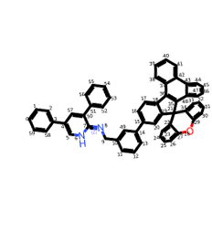 c1ccc(-c2c[nH]/c(=N\Cc3cccc(-c4ccc5c(c4)C4(c6ccccc6Oc6ccccc64)c4c-5c5ccccc5c5ccccc45)c3)c(-c3ccccc3)c2)cc1